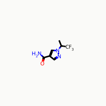 CC(n1cc(C(N)=O)cn1)C(F)(F)F